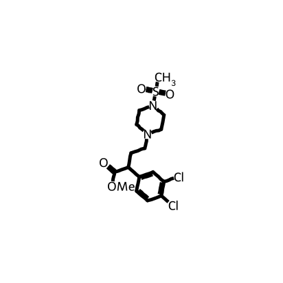 COC(=O)C(CCN1CCN(S(C)(=O)=O)CC1)c1ccc(Cl)c(Cl)c1